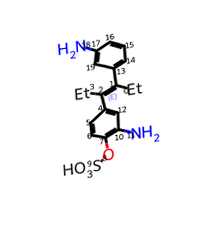 CC/C(=C(/CC)c1ccc(OS(=O)(=O)O)c(N)c1)c1cccc(N)c1